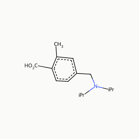 Cc1cc(CN(C(C)C)C(C)C)ccc1C(=O)O